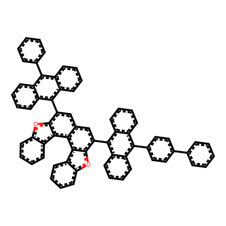 c1ccc(-c2ccc(-c3c4ccccc4c(-c4cc5cc(-c6c7ccccc7c(-c7ccccc7)c7ccccc67)c6oc7ccccc7c6c5c5c4oc4ccccc45)c4ccccc34)cc2)cc1